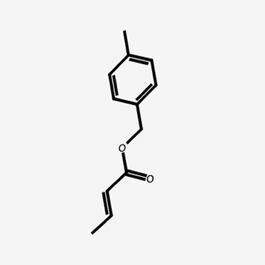 CC=CC(=O)OCc1ccc(C)cc1